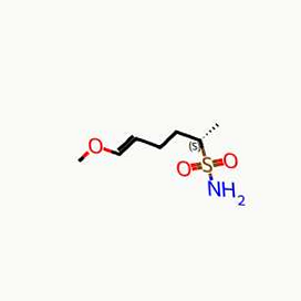 COC=CCC[C@H](C)S(N)(=O)=O